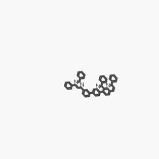 c1ccc(-c2cc(-c3cccc(-c4ccc5c(c4)nc(-c4ccccc4)c4c5ccc5ccc(-c6ccccc6)nc54)c3)nc(-c3ccccc3)n2)cc1